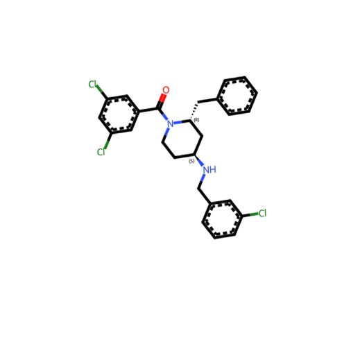 O=C(c1cc(Cl)cc(Cl)c1)N1CC[C@H](NCc2cccc(Cl)c2)C[C@H]1Cc1ccccc1